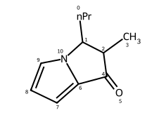 CCCC1C(C)C(=O)c2cccn21